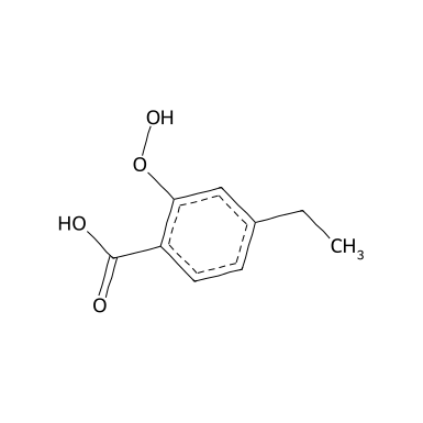 CCc1ccc(C(=O)O)c(OO)c1